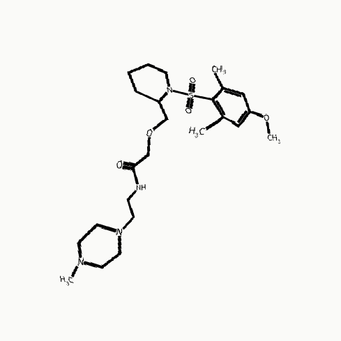 COc1cc(C)c(S(=O)(=O)N2CCCCC2COCC(=O)NCCN2CCN(C)CC2)c(C)c1